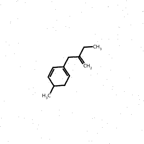 C=C(CC)CC1=CCC(C)C=C1